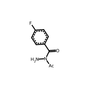 CC(=O)N(N)C(=O)c1ccc(F)cc1